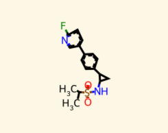 CC(C)S(=O)(=O)NC1CC1c1ccc(-c2ccc(F)nc2)cc1